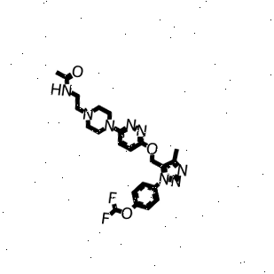 CC(=O)NCCN1CCN(c2ccc(OCc3c(C)nnn3-c3ccc(OC(F)F)cc3)nn2)CC1